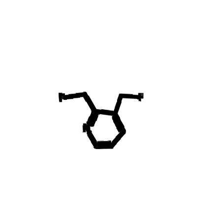 FCc1cccnc1CF